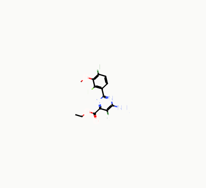 CCOC(=O)c1nc(-c2ccc(Cl)c(OC)c2F)nc(N)c1Cl